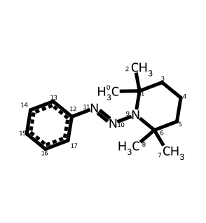 CC1(C)CCCC(C)(C)N1N=Nc1ccccc1